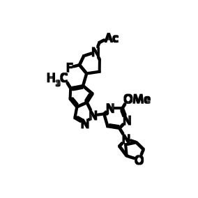 COc1nc(N2CC3CC2CO3)cc(-n2ncc3cc(C)c(C4CCN(CC(C)=O)CC4F)cc32)n1